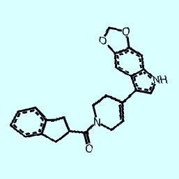 O=C(C1Cc2ccccc2C1)N1CC=C(c2c[nH]c3cc4c(cc23)OCO4)CC1